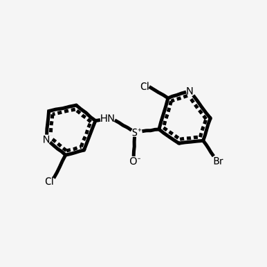 [O-][S+](Nc1ccnc(Cl)c1)c1cc(Br)cnc1Cl